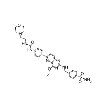 CCOc1nc(NCc2ccc(S(N)(=O)=O)cc2)nc2ccc(-c3ccc(NC(=O)NCCN4CCOCC4)cc3)nc12